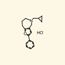 Cl.c1ccc(-c2cc3c(o2)CCCN(CC2CC2)C3)cc1